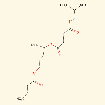 CC(=O)NC(CSC(=O)CCC(=O)OC(CCCOC(=O)CCC(=O)O)OC(C)=O)C(=O)O